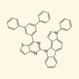 c1ccc(-c2cc(-c3ccccc3)cc(-c3nc(-n4c5ccccc5c5ccc6c(ccn6-c6ccccc6)c54)nc4ccsc34)c2)cc1